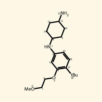 COCCOc1cc(NC2CCC(N)CC2)ccc1C(C)(C)C